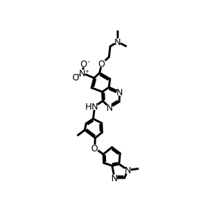 Cc1cc(Nc2ncnc3cc(OCCN(C)C)c([N+](=O)[O-])cc23)ccc1Oc1ccc2c(c1)ncn2C